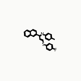 Cc1ccc(N=C(C=CSc2ccc(F)cc2)c2ccc3ccccc3c2)cc1